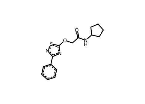 O=C(COc1nc(-c2ccccc2)ns1)NC1CCCC1